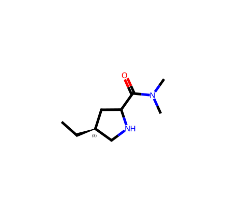 CC[C@@H]1CNC(C(=O)N(C)C)C1